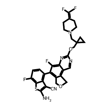 N#Cc1c(N)sc2c(F)ccc(-c3c4c(c5cnc(OCC6(CN7CCC(=C(F)F)CC7)CC6)nc5c3F)COC4)c12